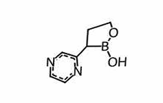 OB1OCCC1c1cnccn1